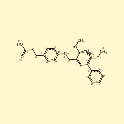 C=C(OC)/C(=C\C(=C(/N)OC)c1ccccc1)CNc1ccc(CCC(=O)O)cc1